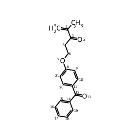 C=C(C)C(=O)CCOc1ccc(C(=O)c2ccccc2)cc1